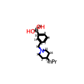 CCCC1CCN(Cc2cccc(B(O)O)c2)CC1